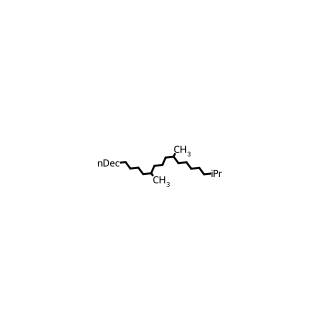 CCCCCCCCCCCCCCC(C)CCCC(C)CCCCCC(C)C